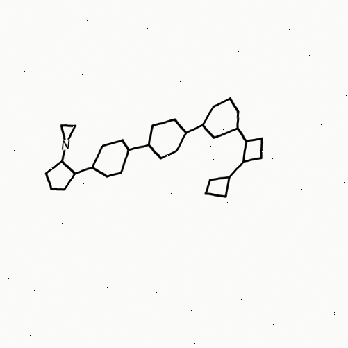 C1CC(C2CCC2C2CCCC(C3CCC(C4CCC(C5CCCC5N5CC5)CC4)CC3)C2)C1